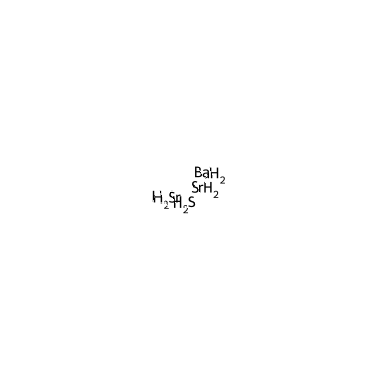 S.[BaH2].[SrH2].[SrH2]